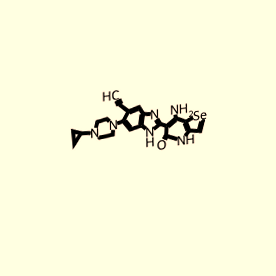 C#Cc1cc2nc(-c3c(N)c4[se]ccc4[nH]c3=O)[nH]c2cc1N1CCN(C2CC2)CC1